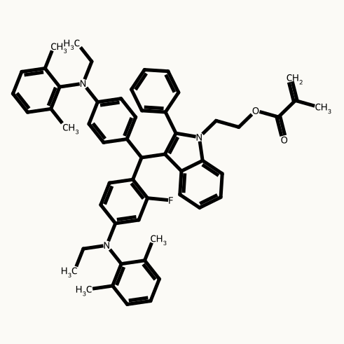 C=C(C)C(=O)OCCn1c(-c2ccccc2)c(C(c2ccc(N(CC)c3c(C)cccc3C)cc2)c2ccc(N(CC)c3c(C)cccc3C)cc2F)c2ccccc21